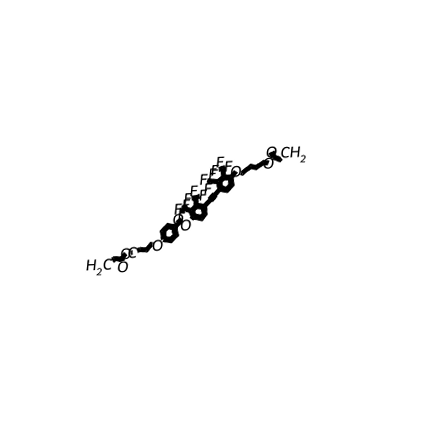 C=CC(=O)OCCCCOc1ccc(C(=O)Oc2ccc(C#Cc3ccc(OCCCCOC(=O)C=C)c(C(F)(F)F)c3C(F)(F)F)c(C(F)(F)F)c2C(F)(F)F)cc1